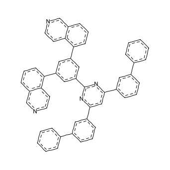 c1ccc(-c2cccc(-c3cc(-c4cccc(-c5ccccc5)c4)nc(-c4cc(-c5cccc6cnccc56)cc(-c5cccc6cnccc56)c4)n3)c2)cc1